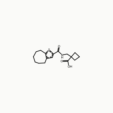 O=C(NCC1(C(=O)O)CCC1)c1cc2c(s1)CCCCCC2